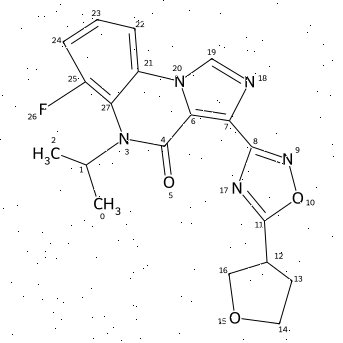 CC(C)n1c(=O)c2c(-c3noc(C4CCOC4)n3)ncn2c2cccc(F)c21